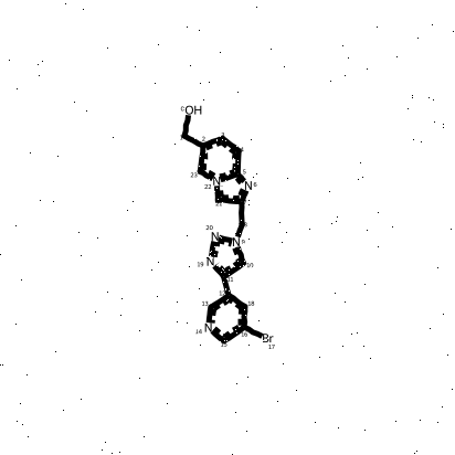 OCc1ccc2nc(Cn3cc(-c4cncc(Br)c4)nn3)cn2c1